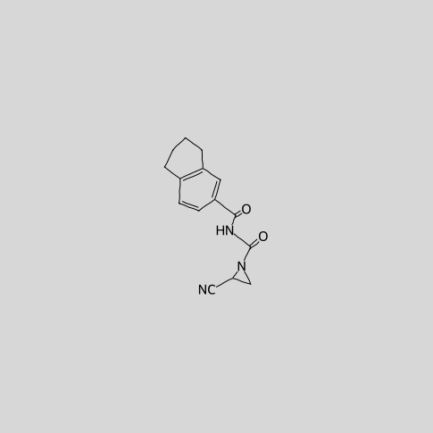 N#CC1CN1C(=O)NC(=O)c1ccc2c(c1)CCCC2